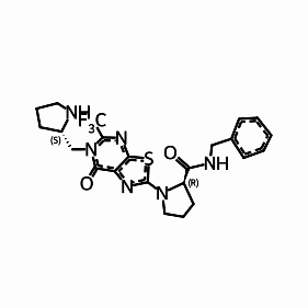 O=C(NCc1ccccc1)[C@H]1CCCN1c1nc2c(=O)n(C[C@@H]3CCCN3)c(C(F)(F)F)nc2s1